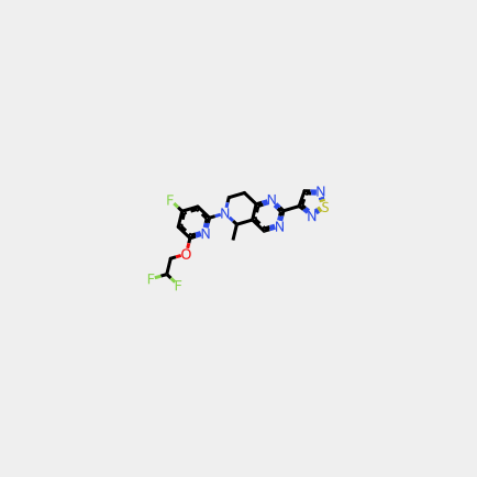 CC1c2cnc(-c3cnsn3)nc2CCN1c1cc(F)cc(OCC(F)F)n1